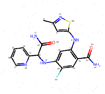 Cc1cc(Nc2cc(NC(C(N)=O)c3ccccn3)c(F)cc2C(N)=O)sn1